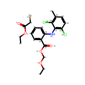 CCOC(=O)CBr.CCOCOC(=O)c1ccccc1Nc1c(Cl)ccc(C)c1Cl